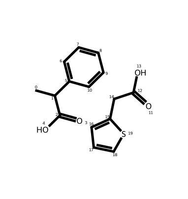 CC(C(=O)O)c1ccccc1.O=C(O)Cc1cccs1